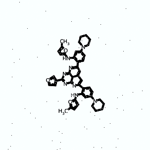 Cc1ccc(Nc2cc(N3CCCCC3)ccc2C2=CC3=CC(c4ccc(N5CCCCC5)cc4Nc4ccc(C)o4)=NC4=NC(c5ccoc5)=NC(=N2)C34)o1